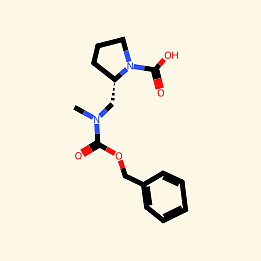 CN(C[C@@H]1CCCN1C(=O)O)C(=O)OCc1ccccc1